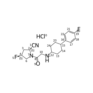 Cl.N#C[C@@H]1C[C@H](F)CN1C(=O)CNC1CCC(c2ccc(F)cc2)CC1